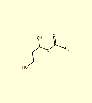 NC(=O)OC(O)CCO